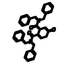 O=C1CCC(C(=O)N(Cc2ccccc2)Cc2ccccc2)C(C(=O)N(Cc2ccccc2)Cc2ccccc2)C1